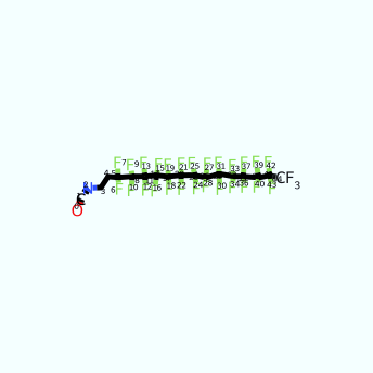 O=C=NCCC(F)(F)C(F)(F)C(F)(F)C(F)(F)C(F)(F)C(F)(F)C(F)(F)C(F)(F)C(F)(F)C(F)(F)C(F)(F)C(F)(F)C(F)(F)C(F)(F)F